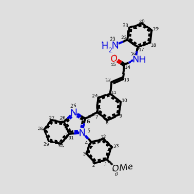 COc1ccc(-n2c(-c3cccc(/C=C/C(=O)Nc4ccccc4N)c3)nc3ccccc32)cc1